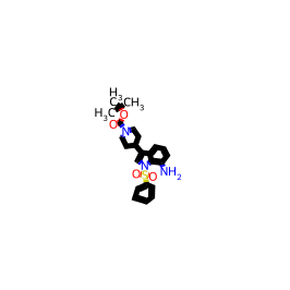 CC(C)(C)OC(=O)N1CCC(c2cn(S(=O)(=O)c3ccccc3)c3c(N)cccc23)CC1